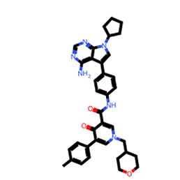 Cc1ccc(-c2cn(CC3CCOCC3)cc(C(=O)Nc3ccc(-c4cn(C5CCCC5)c5ncnc(N)c45)cc3)c2=O)cc1